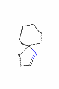 C1=NC2(CC1)CCCCC2